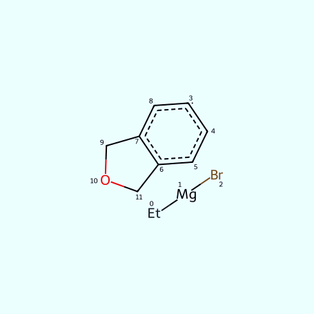 C[CH2][Mg][Br].[c]1ccc2c(c1)COC2